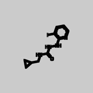 O=C(NCC1CC1)NNc1ncccc1I